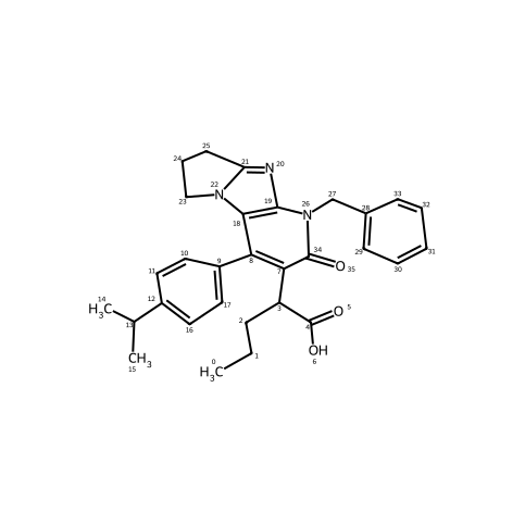 CCCC(C(=O)O)c1c(-c2ccc(C(C)C)cc2)c2c(nc3n2CCC3)n(Cc2ccccc2)c1=O